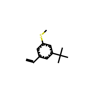 C=[C]c1cc(SC)cc(C(C)(C)C)c1